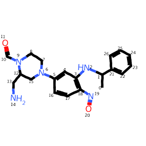 CC(Nc1cc(N2CCN(C=O)C(CN)C2)ccc1N=O)c1ccccc1